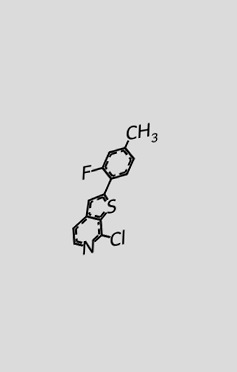 Cc1ccc(-c2cc3ccnc(Cl)c3s2)c(F)c1